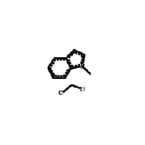 ClCCl.Cn1ccc2ccccc21